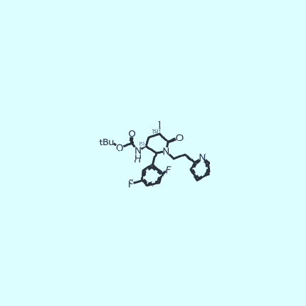 CC(C)(C)OC(=O)N[C@H]1C[C@H](I)C(=O)N(CCc2ccccn2)C1c1cc(F)ccc1F